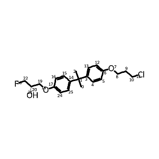 CC(C)(c1ccc(OCCCCl)cc1)c1ccc(OC[C@H](O)CF)cc1